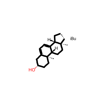 CC[C@H](C)[C@H]1CC[C@H]2C3=CC=C4C[C@@H](O)CC[C@]4(C)[C@H]3CC[C@]12C